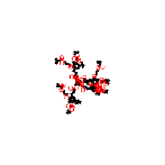 C=C(C)C(=O)OCCCOc1c(CCC(=O)OCC(COC(=O)CCc2cc(C(C)(C)C)c(OC(=O)OC(C)(C)C)c(C)c2OCCCOC(=O)C(=C)C)(COC(=O)CCc2cc(C(C)(C)C)c(OC(=O)OC(C)(C)C)c(C)c2OCCCOC(=O)C(=C)C)COC(=O)CCc2cc(C(C)(C)C)c(OC(=O)OC(C)(C)C)c(C)c2OCCCOC(=O)C(C)C)cc(C(C)(C)C)c(OC(=O)OC(C)(C)C)c1C